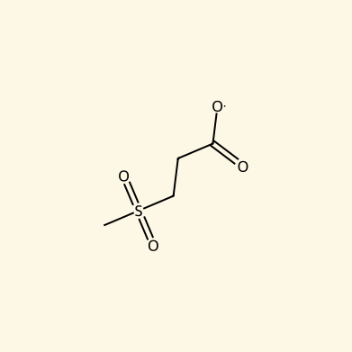 CS(=O)(=O)CCC([O])=O